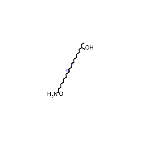 CCC(CO)CCCCC/C=C/C/C=C/CCCCCCCC(N)=O